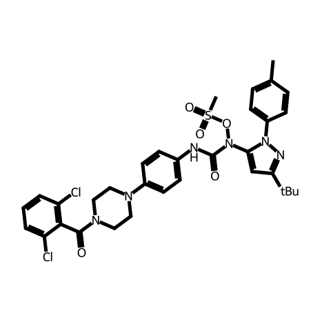 Cc1ccc(-n2nc(C(C)(C)C)cc2N(OS(C)(=O)=O)C(=O)Nc2ccc(N3CCN(C(=O)c4c(Cl)cccc4Cl)CC3)cc2)cc1